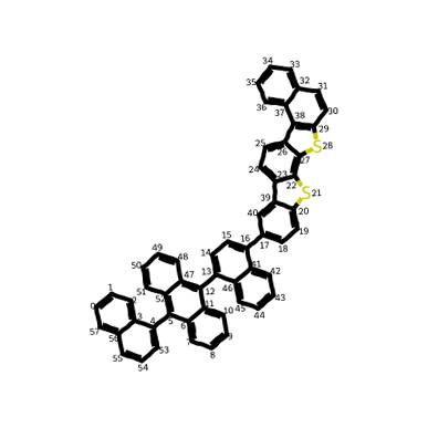 c1ccc2c(-c3c4ccccc4c(-c4ccc(-c5ccc6sc7c(ccc8c7sc7ccc9ccccc9c78)c6c5)c5ccccc45)c4ccccc34)cccc2c1